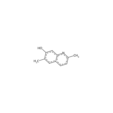 Cc1ccc2cc(C)c(O)cc2n1